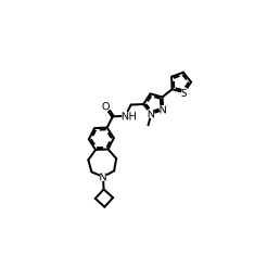 Cn1nc(-c2cccs2)cc1CNC(=O)c1ccc2c(c1)CCN(C1CCC1)CC2